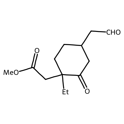 CCC1(CC(=O)OC)CCC(CC=O)CC1=O